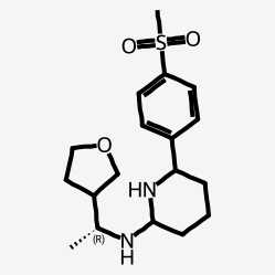 C[C@@H](NC1CCCC(c2ccc(S(C)(=O)=O)cc2)N1)C1CCOC1